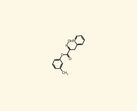 Cc1cccc(OC(=O)C(Cc2ccccn2)=NO)c1